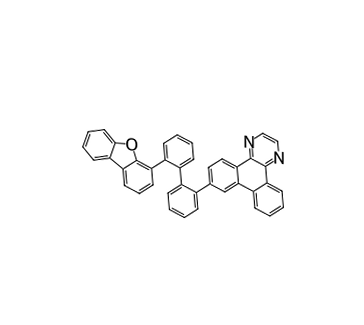 c1ccc(-c2ccccc2-c2cccc3c2oc2ccccc23)c(-c2ccc3c(c2)c2ccccc2c2nccnc32)c1